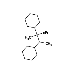 CCCC(C)(C1CCCCC1)C(C)C1CCCCC1